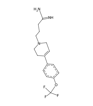 N=C(N)CCCN1CC=C(c2ccc(OC(F)(F)F)cc2)CC1